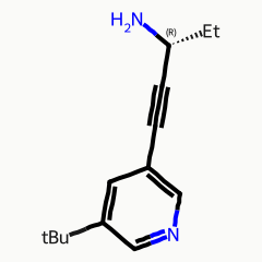 CC[C@@H](N)C#Cc1cncc(C(C)(C)C)c1